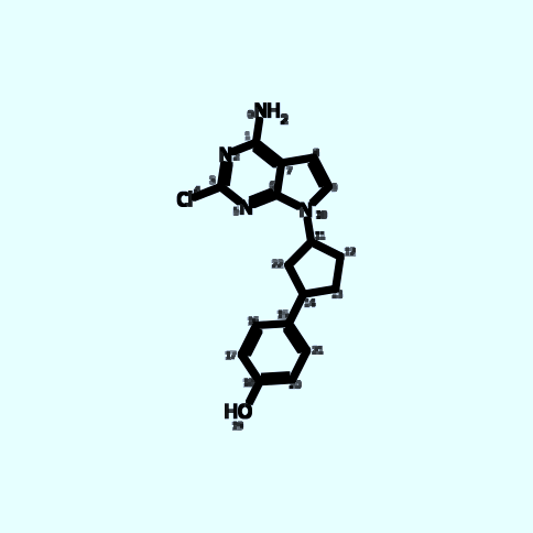 Nc1nc(Cl)nc2c1ccn2C1CCC(c2ccc(O)cc2)C1